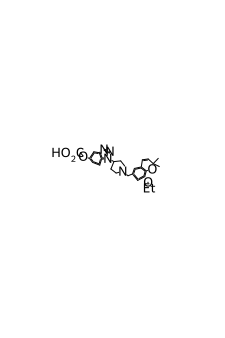 CCOc1cc(CN2CCC(n3nnc4cc(OC(=O)O)ccc43)CC2)cc2c1OC(C)(C)C=C2